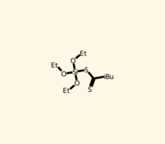 CCO[Si](OCC)(OCC)SC(=S)C(C)CC